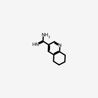 N=C(N)c1cnc2c(c1)CCCC2